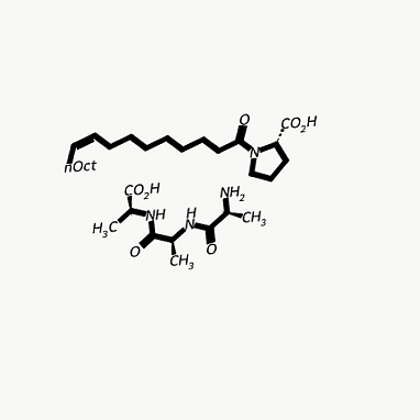 CCCCCCCC/C=C\CCCCCCCC(=O)N1CCC[C@H]1C(=O)O.C[C@H](N)C(=O)N[C@@H](C)C(=O)N[C@@H](C)C(=O)O